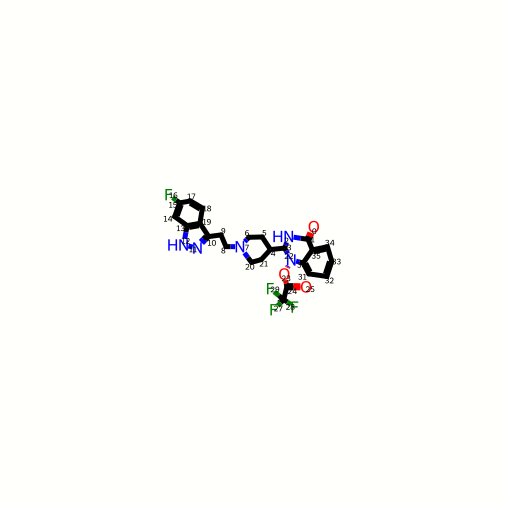 O=C1NC(C2CCN(CCc3n[nH]c4cc(F)ccc34)CC2)N(OC(=O)C(F)(F)F)c2ccccc21